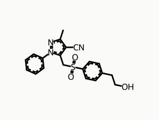 Cc1nn(-c2ccccc2)c(CS(=O)(=O)c2ccc(CCO)cc2)c1C#N